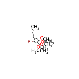 CCCCCCc1cc(C(=O)OC(C)(C)C)c(C(=O)OC(C)(C)C)cc1Br